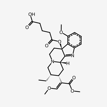 CC[C@@H]1CN2CC[C@@]3(OC(=O)CCCC(=O)O)C(=Nc4cccc(OC)c43)[C@@H]2C[C@@H]1/C(=C\OC)C(=O)OC